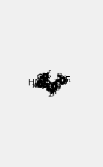 CC1CC(=O)N(C[C@H]2CN[C@H](C)CN2CC(=O)N2CC(C)(C)c3cnc(Cc4ccc(F)cc4F)cc32)C1